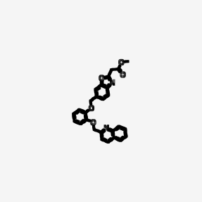 COC(=O)Cc1nc2ccc(COc3ccccc3OCc3ccc4ccccc4n3)cc2o1